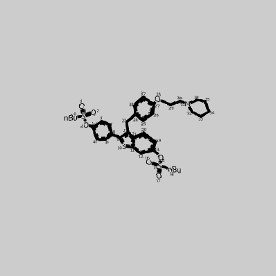 CCCCS(=O)(=O)Oc1ccc(-c2sc3cc(OS(=O)(=O)CCCC)ccc3c2Cc2ccc(OCCN3CCCCC3)cc2)cc1